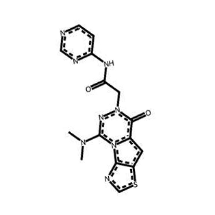 CN(C)c1nn(CC(=O)Nc2ccncn2)c(=O)c2cc3scnc3n12